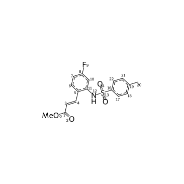 COC(=O)C=Cc1ccc(F)cc1NS(=O)(=O)c1ccc(C)cc1